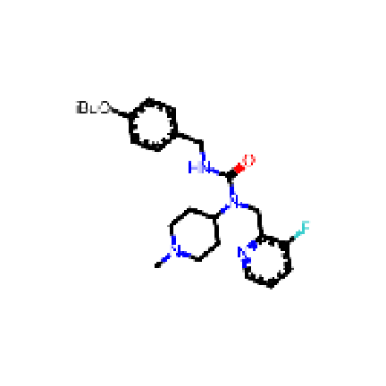 CC(C)COc1ccc(CNC(=O)N(Cc2ncccc2F)C2CCN(C)CC2)cc1